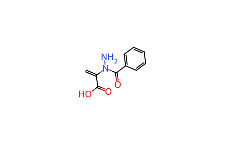 C=C(C(=O)O)N(N)C(=O)c1ccccc1